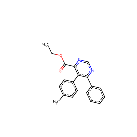 CCOC(=O)c1ncnc(-c2ccccc2)c1-c1ccc(C)cc1